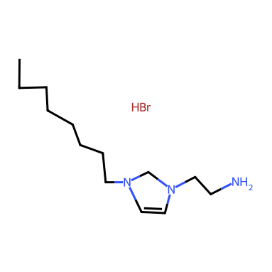 Br.CCCCCCCCN1C=CN(CCN)C1